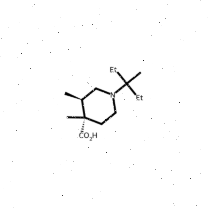 CCC(C)(CC)N1CC[C@](C)(C(=O)O)[C@@H](C)C1